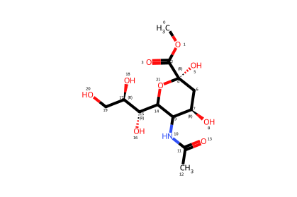 COC(=O)[C@@]1(O)C[C@@H](O)C(NC(C)=O)C([C@H](O)[C@H](O)CO)O1